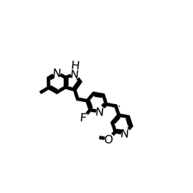 COc1cc([CH]c2ccc(Cc3c[nH]c4ncc(C)cc34)c(F)n2)ccn1